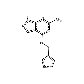 Cc1nc(NCc2ccco2)c2cn[nH]c2n1